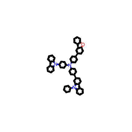 c1ccc(-n2c3ccccc3c3ccc(-c4ccc(N(c5ccc(-c6ccc7oc8ccccc8c7c6)cc5)c5ccc(-n6c7ccccc7c7ccccc76)cc5)cc4)cc32)cc1